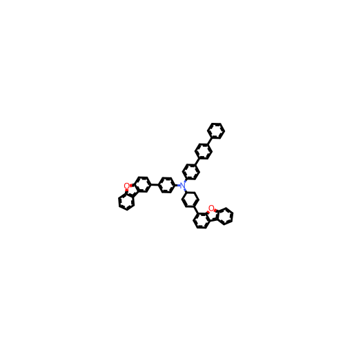 C1=CC(N(c2ccc(-c3ccc(-c4ccccc4)cc3)cc2)c2ccc(-c3ccc4oc5ccccc5c4c3)cc2)CC=C1c1cccc2c1oc1ccccc12